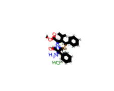 C=C(C)C1=C(C(=O)OC)N2C(=O)C(N)(c3ccccc3)[C@@H]2SC1c1ccccc1.Cl